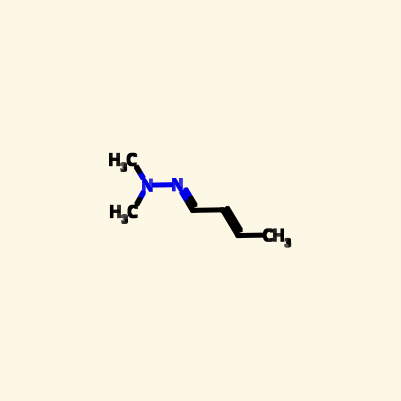 CC=CC=NN(C)C